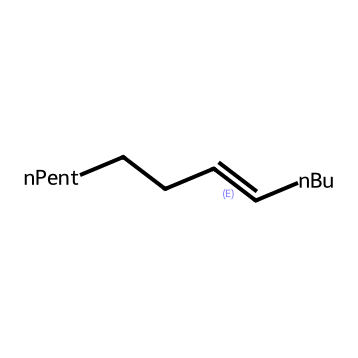 CCCC/C=C/CCCCCCC